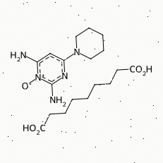 Nc1cc(N2CCCCC2)nc(N)[n+]1[O-].O=C(O)CCCCCCCC(=O)O